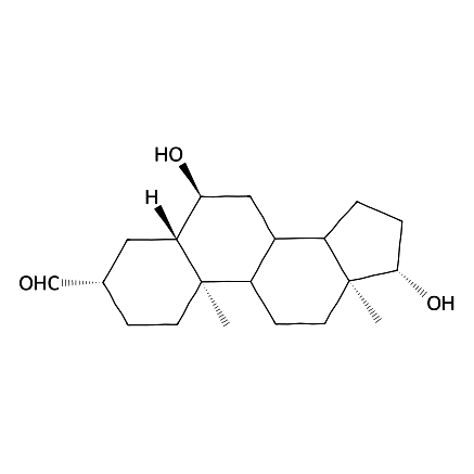 C[C@]12CCC3C(C[C@H](O)[C@H]4C[C@@H](C=O)CC[C@]34C)C1CC[C@@H]2O